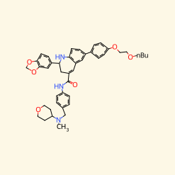 CCCCOCCOc1ccc(-c2ccc3c(c2)C=C(C(=O)Nc2ccc(CN(C)C4CCOCC4)cc2)CC(c2ccc4c(c2)OCO4)N3)cc1